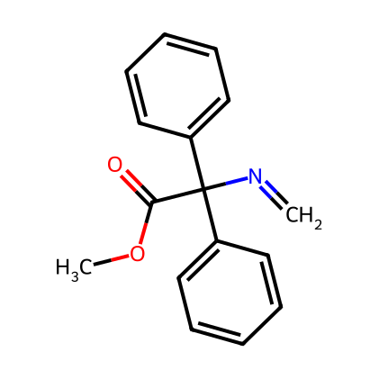 C=NC(C(=O)OC)(c1ccccc1)c1ccccc1